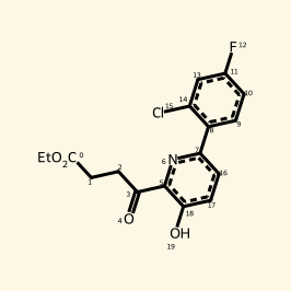 CCOC(=O)CCC(=O)c1nc(-c2ccc(F)cc2Cl)ccc1O